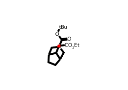 CCOC(=O)CC1C2CCC1CN(C(=O)OC(C)(C)C)C2